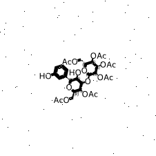 CC(=O)OC[C@H]1O[C@H](O[C@@H]2[C@H](O)[C@@H](c3cccc(O)c3)O[C@H](COC(C)=O)[C@H]2OC(C)=O)[C@@H](OC(C)=O)[C@@H](OC(C)=O)[C@@H]1OC(C)=O